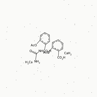 CC(=O)Oc1ccccc1C(=O)O.CC(=O)Oc1ccccc1C(=O)O.NC(N)=O.[CaH2].[CaH2]